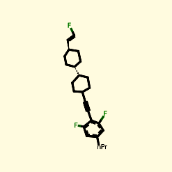 CCCc1cc(F)c(C#CC2CCC([C@H]3CC[C@H](/C=C/F)CC3)CC2)c(F)c1